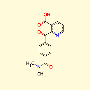 CN(C)C(=O)c1ccc(C(=O)c2ncccc2C(=O)O)cc1